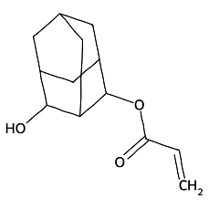 C=CC(=O)OC1C2CC3CC(C2)C(O)C1C3